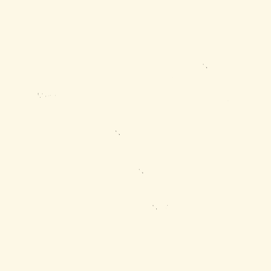 COc1ccc2c(OC3CNC(C(C)(C)C)C3)cc(-c3csc(NC(C)=O)n3)nc2c1